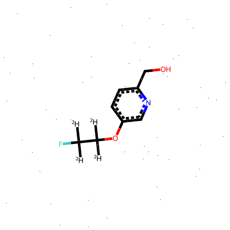 [2H]C([2H])(F)C([2H])([2H])Oc1ccc(CO)nc1